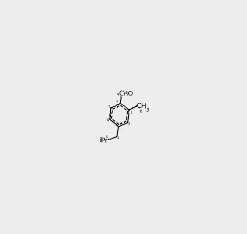 Cc1cc(CC(C)C)ccc1C=O